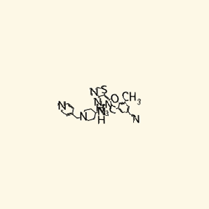 Cc1cc(C#N)cc(C)c1Oc1nc(NC2CCN(Cc3ccncc3)CC2)nc2ncsc12